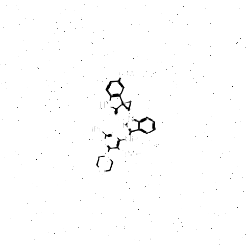 COc1ccc2c(c1)[C@@]1(C[C@@H]1n1nc(Nc3nc(C(C)C)nc(N4CCOCC4)c3OC)c3ccccc31)C(=O)N2